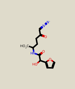 [N-]=[N+]=CC(=O)CCC(NC(=O)C(O)c1ccco1)C(=O)O